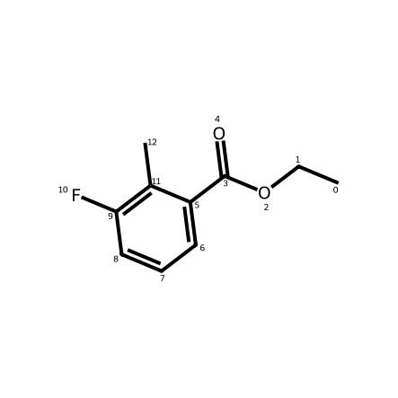 CCOC(=O)c1cccc(F)c1C